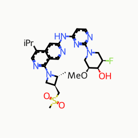 CO[C@H]1CN(c2nccc(Nc3cc4c(C(C)C)cnc(N5C[C@H](CS(C)(=O)=O)[C@H]5C)c4cn3)n2)C[C@@H](F)[C@H]1O